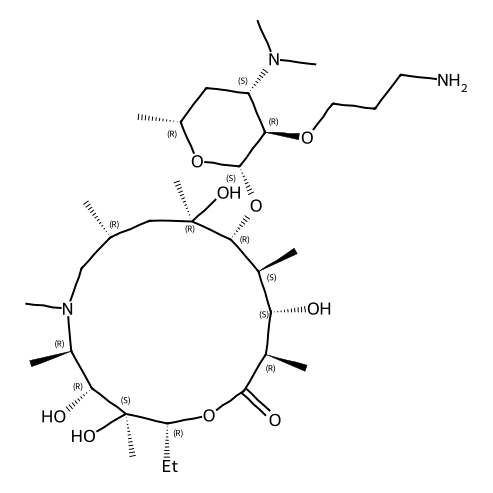 CC[C@H]1OC(=O)[C@H](C)[C@@H](O)[C@H](C)[C@@H](O[C@@H]2O[C@H](C)C[C@H](N(C)C)[C@H]2OCCCN)[C@](C)(O)C[C@@H](C)CN(C)[C@H](C)[C@@H](O)[C@]1(C)O